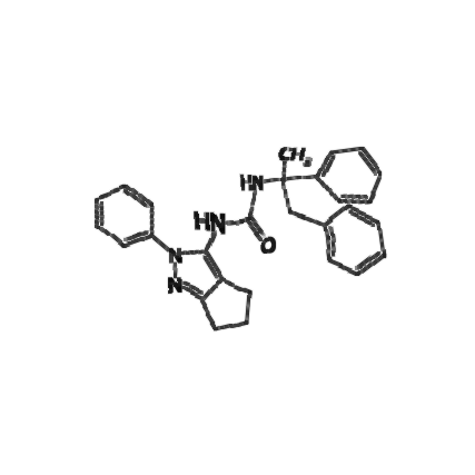 CC(Cc1ccccc1)(NC(=O)Nc1c2c(nn1-c1ccccc1)CCC2)c1ccccc1